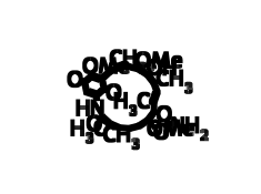 COC1=C2C[C@@H](C)C[C@H](OC)[C@H](O)[C@@H](C)/C=C(\C)[C@H](OC(N)=O)[C@@H](OC)CCCC(C)(C)C(=O)NC(=CC1=O)C2=O